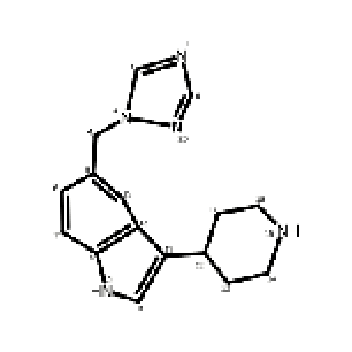 c1ncn(Cc2ccc3[nH]cc(C4CCNCC4)c3c2)n1